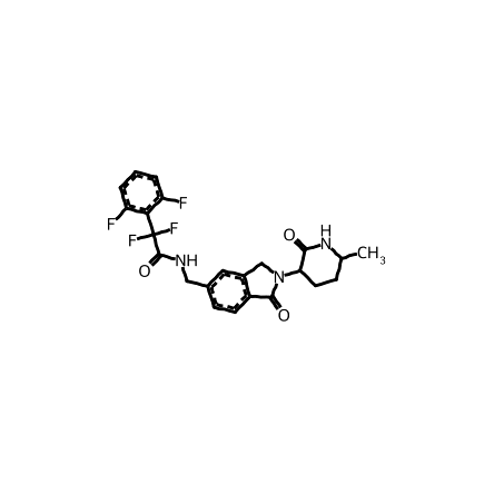 CC1CCC(N2Cc3cc(CNC(=O)C(F)(F)c4c(F)cccc4F)ccc3C2=O)C(=O)N1